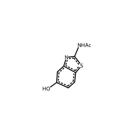 CC(=O)Nc1nc2cc(O)ccc2s1